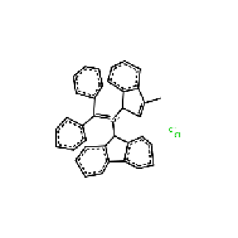 CC1=C[CH]([Zr+2](=[C](c2ccccc2)c2ccccc2)[CH]2c3ccccc3-c3ccccc32)c2ccccc21.[Cl-].[Cl-]